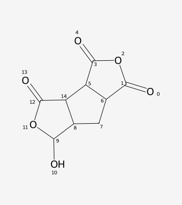 O=C1OC(=O)C2C1CC1C(O)OC(=O)C12